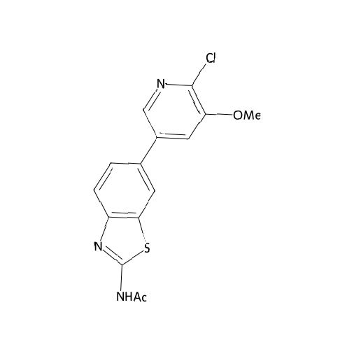 COc1cc(-c2ccc3nc(NC(C)=O)sc3c2)cnc1Cl